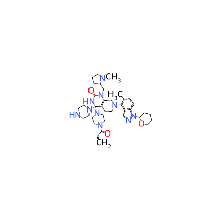 C=CC(=O)N1CCN(C2(N3CCNCC3)NC(=O)N(CC3CCCN3C)C3=C2CCN(c2c(C)ccc4c2cnn4C2CCCCO2)C3)CC1